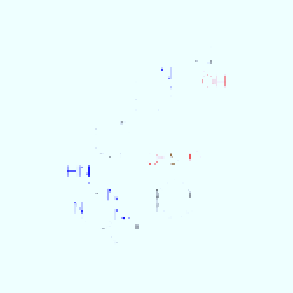 C[C@H](O)CN1CCC(c2ccc(Nc3ncc4ccc(-c5cccc(S(C)(=O)=O)c5)n4n3)cc2)CC1